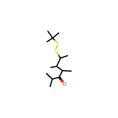 CC(C)C(=O)C(C)C(C)C(C)SSC(C)(C)C